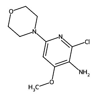 COc1cc(N2CCOCC2)nc(Cl)c1N